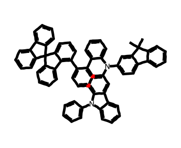 CC1(C)c2ccccc2-c2ccc(N(c3ccc4c(c3)c3ccccc3n4-c3ccccc3)c3ccccc3-c3ccccc3-c3cccc4c3-c3ccccc3C43c4ccccc4-c4ccccc43)cc21